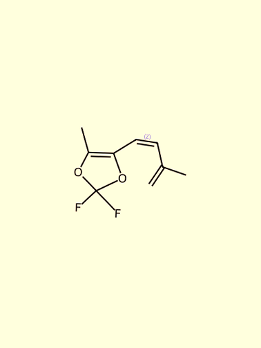 C=C(C)/C=C\C1=C(C)OC(F)(F)O1